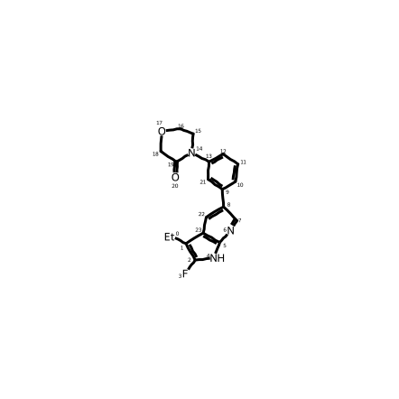 CCc1c(F)[nH]c2ncc(-c3cccc(N4CCOCC4=O)c3)cc12